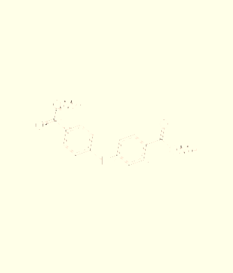 COC(=O)c1ccc([I+]c2ccc(C(=O)OC)cc2)cc1